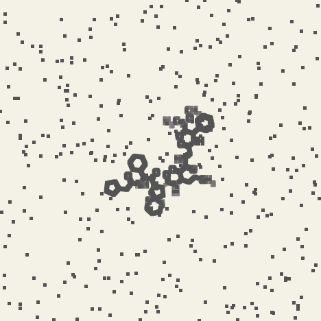 CCCC(NC(=O)[C@@H]1CC2(CN1C(=O)[C@@H](NC(=O)CC1CCCC1)C1CCCCC1)SCCCS2)C(=O)C(=O)NCC(=O)NC(C(=O)N(C)OC)c1ccccc1